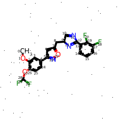 COc1cc(-c2cc(CC3C=NC(c4cccc(F)c4F)=N3)on2)ccc1OC(F)F